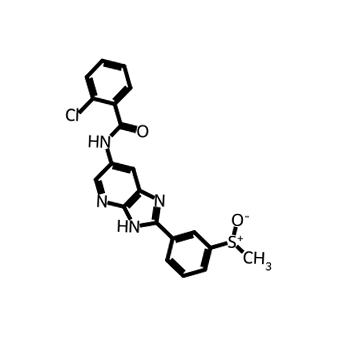 C[S+]([O-])c1cccc(-c2nc3cc(NC(=O)c4ccccc4Cl)cnc3[nH]2)c1